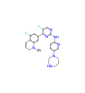 CC(C)N1CC=Cc2c(F)cc(-c3nc(Nc4ccc(N5CCCNCC5)cn4)ncc3F)cc21